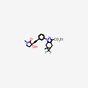 CCOC(=O)c1nn(-c2cccc(C#C[C@]3(O)CCN(C)C3=O)c2)c2c1CC1C(F)(F)C1(C)C2